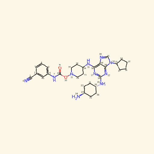 N#Cc1cccc(NC(=O)ON2CCC(Nc3nc(N[C@H]4CC[C@H](N)CC4)nc4c3ncn4C3CCCC3)CC2)c1